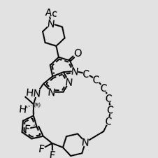 CC(=O)N1CCC(c2cc3c4ncnc3n(c2=O)CCCCCCCN2CCC(CC2)C(F)(F)c2cccc(c2F)[C@@H](C)N4)CC1